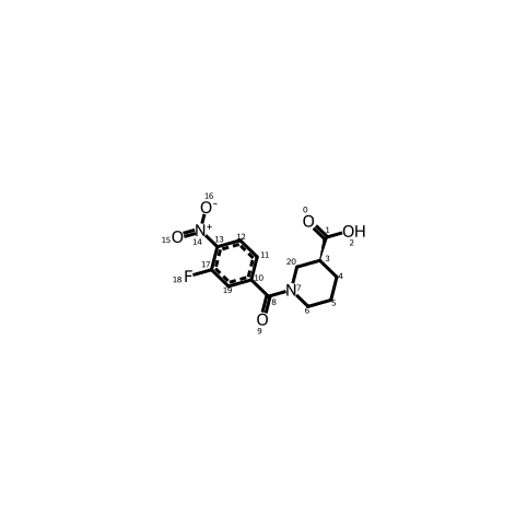 O=C(O)[C@H]1CCCN(C(=O)c2ccc([N+](=O)[O-])c(F)c2)C1